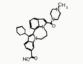 CN1CCN(C(=O)c2cc3cccc4c3n2CCCn2c-4c(C3CCCCC3)c3ccc(C(=O)O)cc32)CC1